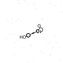 O=C1CCCn2cc(C#Cc3ccc(O)cc3)cc21